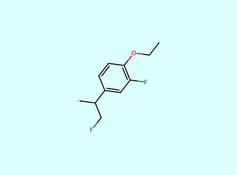 [CH2]C(CF)c1ccc(OCC)c(F)c1